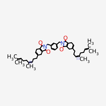 CC(C)=CCC/C(C)=C\CCC1=CCC2=C(C1)C(=O)N(Cc1cccc(CN3C(=O)C4=C(CC(CC/C=C(/C)CCC=C(C)C)=CC4)C3=O)c1)C2=O